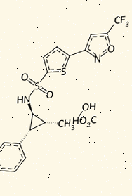 C[C@H]1[C@H](NS(=O)(=O)c2ccc(-c3cc(C(F)(F)F)on3)s2)[C@H]1c1ccccc1.O=C(O)O